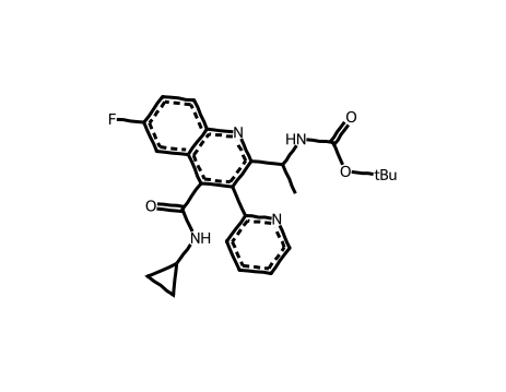 CC(NC(=O)OC(C)(C)C)c1nc2ccc(F)cc2c(C(=O)NC2CC2)c1-c1ccccn1